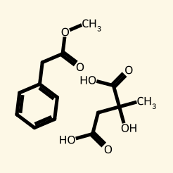 CC(O)(CC(=O)O)C(=O)O.COC(=O)Cc1ccccc1